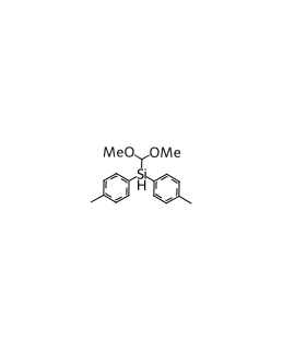 COC(OC)[SiH](c1ccc(C)cc1)c1ccc(C)cc1